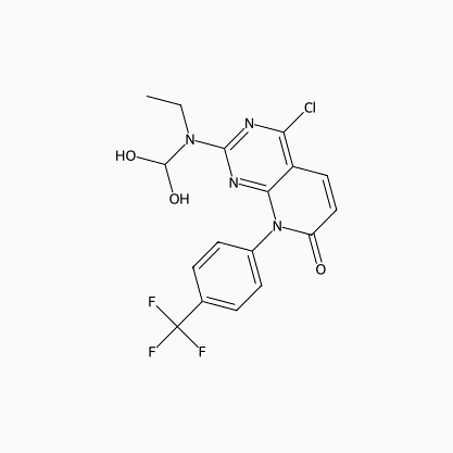 CCN(c1nc(Cl)c2ccc(=O)n(-c3ccc(C(F)(F)F)cc3)c2n1)C(O)O